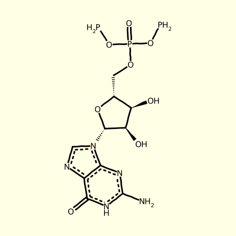 Nc1nc2c(ncn2[C@@H]2O[C@H](COP(=O)(OP)OP)[C@@H](O)[C@H]2O)c(=O)[nH]1